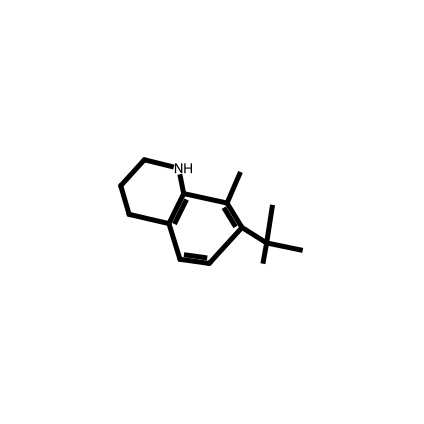 Cc1c(C(C)(C)C)ccc2c1NCCC2